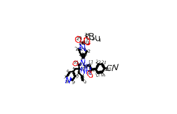 C=CCC1(Cc2ccncc2)N/C(=C\C(=O)c2ccc(C#N)cc2)N(C2C3CN(C(=O)OC(C)(C)C)CC32)C1=O